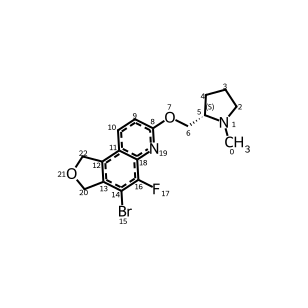 CN1CCC[C@H]1COc1ccc2c3c(c(Br)c(F)c2n1)COC3